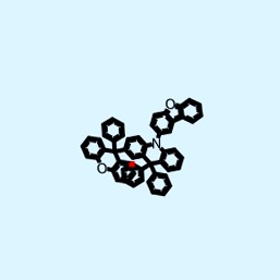 c1ccc(C2(c3ccc4c(c3)C(c3ccccc3)(c3ccccc3)c3ccccc3N4c3ccc4oc5ccccc5c4c3)c3ccccc3Oc3ccccc32)cc1